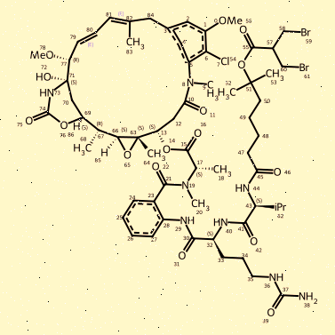 COc1cc2cc(c1Cl)N(C)C(=O)C[C@H](OC(=O)[C@H](C)N(C)C(=O)c1ccccc1NC(=O)[C@H](CCCNC(N)=O)NC(=O)[C@@H](NC(=O)CCCCC(C)(C)OC(=O)C(CBr)CBr)C(C)C)[C@]1(C)O[C@H]1[C@H](C)[C@@H]1C[C@@](O)(NC(=O)O1)[C@H](OC)/C=C/C=C(\C)C2